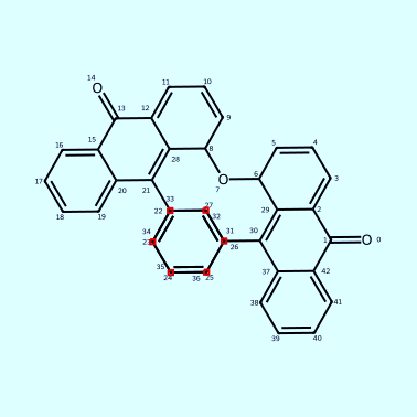 O=C1C2=CC=CC(OC3C=CC=C4C(=O)c5ccccc5C(c5ccccc5)=C43)C2=C(c2ccccc2)c2ccccc21